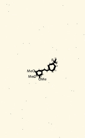 COc1cc(CCC2=CC=C(C(C)(F)F)C=C=C2)cc(OC)c1OC